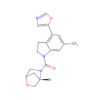 O=C(N1CCc2c(-c3cnco3)cc(C(F)(F)F)cc21)N1CC2C[C@H]1CO2